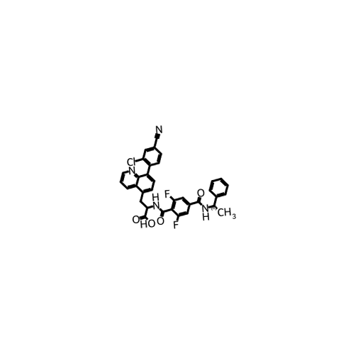 C[C@@H](NC(=O)c1cc(F)c(C(=O)NC(Cc2ccc(-c3ccc(C#N)cc3Cl)c3ncccc23)C(=O)O)c(F)c1)c1ccccc1